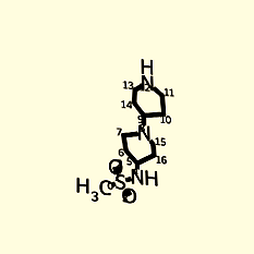 CS(=O)(=O)NC1CCN(C2CCNCC2)CC1